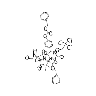 CC1(C)[S+]([O-])[C@@H]2[C@H](NC=O)C(=O)N2[C@@]1(NC(=O)C(c1ccc(OC(=O)OCc2ccccc2)cc1)N(C=O)OCC(Cl)(Cl)Cl)C(=O)OCc1ccccc1